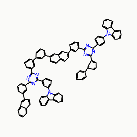 c1ccc(-c2cccc(-c3nc(-c4ccc(-n5c6ccccc6c6ccccc65)cc4)nc(-c4cccc(-c5ccc6ccc(-c7cccc(-c8cccc(-c9nc(-c%10cccc(-c%11ccc%12ccccc%12c%11)c%10)nc(-c%10cccc(-n%11c%12ccccc%12c%12ccccc%12%11)c%10)n9)c8)c7)cc6c5)c4)n3)c2)cc1